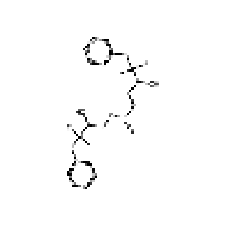 O=[PH](OCC(O)C(F)(F)Cc1ccccc1)OCC(O)C(F)(F)Cc1ccccc1